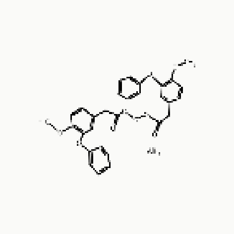 COc1ccc(CC(=O)OOOC(=O)Cc2ccc(OC)c(Oc3ccccc3)c2)cc1Oc1ccccc1.[AlH3]